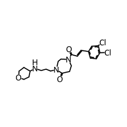 O=C(/C=C/c1ccc(Cl)c(Cl)c1)N1CCC(=O)N(CCCNC2CCOCC2)CC1